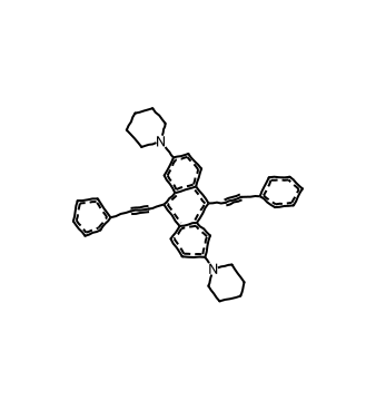 C(#Cc1c2ccc(N3CCCCC3)cc2c(C#Cc2ccccc2)c2ccc(N3CCCCC3)cc12)c1ccccc1